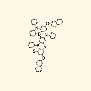 c1ccc(N2c3ccccc3B3c4cc5c(cc4N(c4ccccc4)c4cc(Oc6ccc7ccccc7c6)cc2c43)Sc2cc(Oc3ccc4ccccc4c3)cc3c2B5c2ccccc2S3)cc1